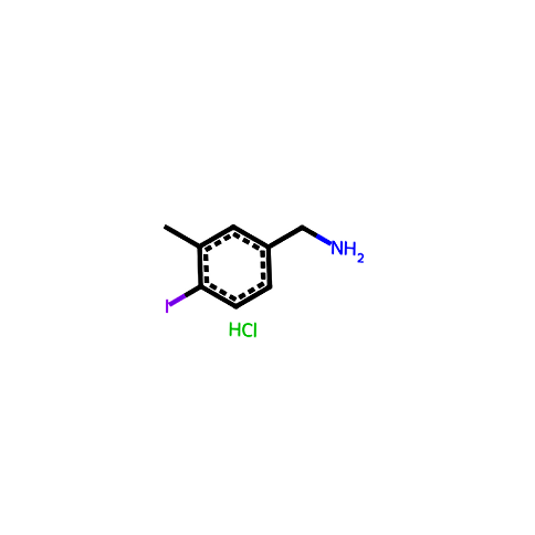 Cc1cc(CN)ccc1I.Cl